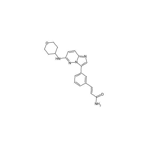 NC(=O)/C=C/c1cccc(-c2cnc3ccc(NC4CCOCC4)nn23)c1